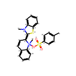 Cc1ccc(S(=O)(=O)O[N+]2(C)C(=C3Sc4ccccc4N3C)C=Cc3ccccc32)cc1